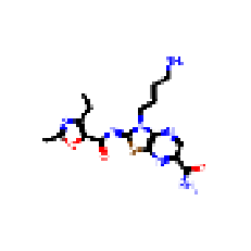 CCc1nc(C)oc1C(=O)/N=c1\sc2nc(C(N)=O)cnc2n1C/C=C/CN